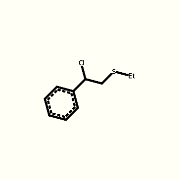 [CH2]CSCC(Cl)c1ccccc1